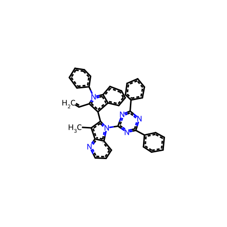 C=Cc1c(-c2c(C)c3ncccc3n2-c2nc(-c3ccccc3)nc(-c3ccccc3)n2)c2ccccc2n1-c1ccccc1